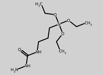 CCO[Si](CCCNC(=O)NN)(OCC)OCC